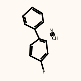 C#N.Fc1ccc(-c2ccccc2)cc1